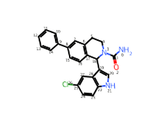 NC(=O)N1CCc2cc(-c3ccccc3)ccc2C1c1c[nH]c2ccc(Cl)cc12